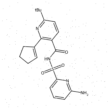 CC(C)(C)c1ccc(C(=O)NS(=O)(=O)c2cccc(N)n2)c(C2=CCCC2)n1